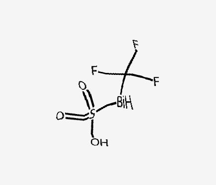 O=[S](=O)(O)[BiH][C](F)(F)F